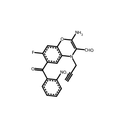 C#CCN1C(C=O)=C(N)Oc2cc(F)c(C(=O)c3ccccc3[N+](=O)[O-])cc21